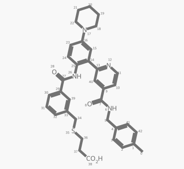 Cc1ccc(CNC(=O)c2ccnc(-c3cc(N4CCCCC4)ccc3NC(=O)c3cccc(CSCCC(=O)O)c3)c2)cc1